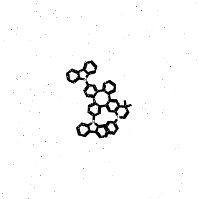 CC1(C)C=CN(c2ccccc2)c2cc3c(cc21)-c1ccccc1-c1cc(-n2c4ccccc4c4ccccc42)ccc1-c1ccc(-n2c4ccccc4c4ccccc42)cc1-3